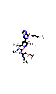 C=CCCOc1nc(-c2cc([C@@H](C)N(CC)C(=O)NC(CC=C)COCC(F)F)ncc2OC)cn2ccnc12